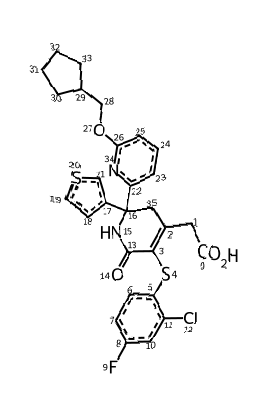 O=C(O)CC1=C(Sc2ccc(F)cc2Cl)C(=O)NC(c2ccsc2)(c2cccc(OCC3CCCC3)n2)C1